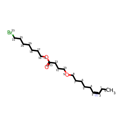 CC/C=C\CCCCCOCCCC(=O)OCCCCCCCBr